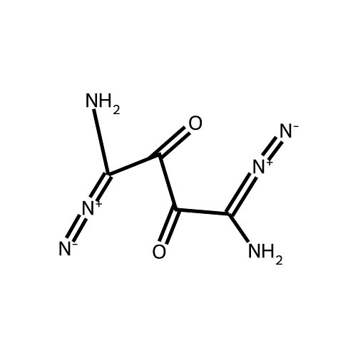 [N-]=[N+]=C(N)C(=O)C(=O)C(N)=[N+]=[N-]